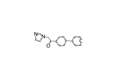 O=C(Cn1ccnc1)c1ccc(-c2ccccc2)cc1